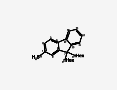 Bc1ccc2c(c1)C(CCCCCC)(CCCCCC)c1ccccc1-2